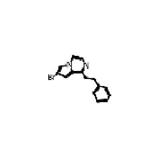 Brc1cc2c(CCc3ccccc3)nccn2c1